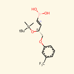 CC(C)(C)[Si](C)(C)O[C@H](/C=C/B(O)O)COc1cccc(C(F)(F)F)c1